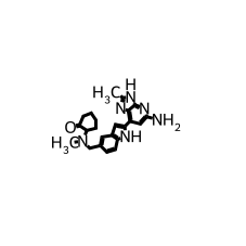 Cc1nc2c(-c3cc4cc(CN(C)C5CCCCC5=O)ccc4[nH]3)cc(N)nc2[nH]1